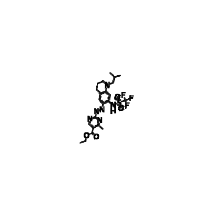 CCOC(=O)c1cnc(N=Nc2cc3c(cc2NS(=O)(=O)C(F)(F)F)N(CC(C)C)CCC3)nc1C